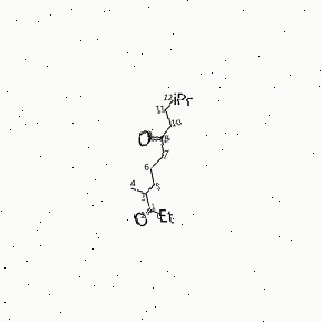 CCC(=O)C(C)CCCC(=O)CCC(C)C